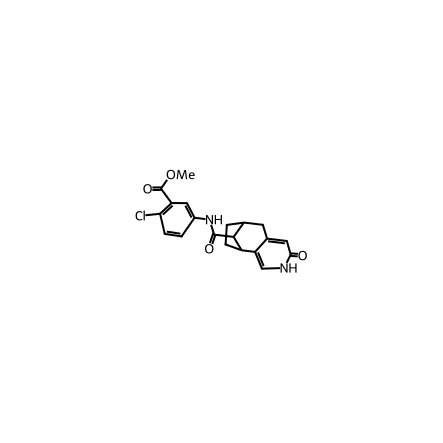 COC(=O)c1cc(NC(=O)C2C3CCC2c2c[nH]c(=O)cc2C3)ccc1Cl